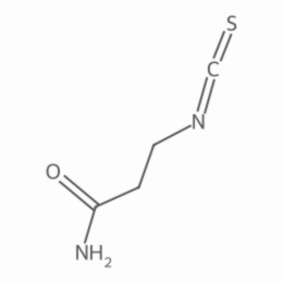 NC(=O)CCN=C=S